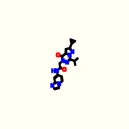 CC(C)c1nn(CC(=O)Nc2ccn3ccnc3c2)c(=O)c2cc(C3CC3)nn12